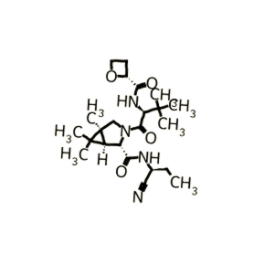 CC[C@@H](C#N)NC(=O)[C@@H]1[C@H]2C(C)(C)[C@@]2(C)CN1C(=O)[C@@H](NC(=O)[C@H]1CCO1)C(C)(C)C